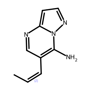 C/C=C\c1cnc2ccnn2c1N